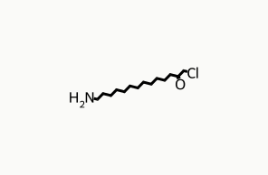 NCCCCCCCCCCCCC(=O)CCl